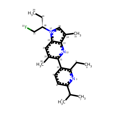 CCc1nc(C(C)C)ccc1-c1nc2c(C)cn([C@@H](CC)CF)c2cc1C